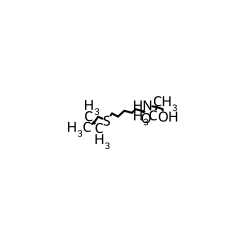 CC(C)(C)CSCCCCCC(=O)NC(C)(C)CO